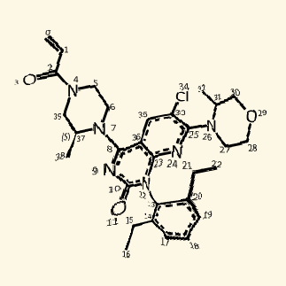 C=CC(=O)N1CCN(c2nc(=O)n(-c3c(CC)cccc3CC)c3nc(N4CCOCC4C)c(Cl)cc23)[C@@H](C)C1